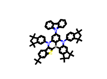 CC(C)(C)c1ccc2c3c(sc2c1)B1c2cc4c(cc2N(c2ccc5c(c2)C(C)(C)CC5(C)C)c2cc(-n5c6ccccc6c6ccccc65)cc(c21)N3c1ccc2c(c1)C(C)(C)CC2(C)C)C(C)(C)CC4(C)C